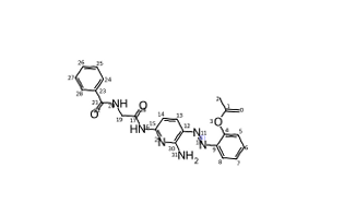 C=C(C)Oc1ccccc1/N=N/c1ccc(NC(=O)CNC(=O)c2ccccc2)nc1N